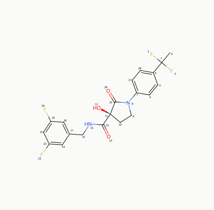 CC(F)(F)c1ccc(N2CC[C@](O)(C(=O)NCc3cc(F)cc(F)c3)C2=O)cc1